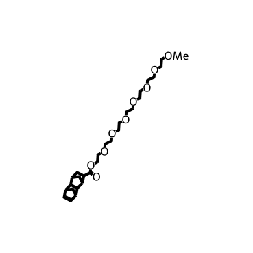 COCCOCCOCCOCCOCCOCCOCCOC(=O)C1CC2CC1C1C3C=CC(C3)C21